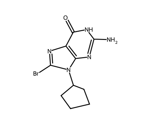 Nc1nc2c(nc(Br)n2C2CCCC2)c(=O)[nH]1